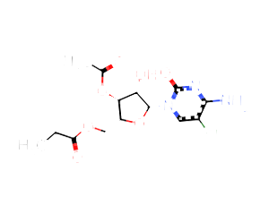 CCC(=O)OC[C@H]1O[C@@H](n2cc(Cl)c(N)nc2=O)[C@@H](O)[C@@H]1OC(C)=O